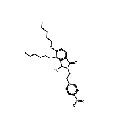 CCCCCOc1ccc2c(c1OCCCCC)C(O)N(CCc1ccc([N+](=O)[O-])cc1)C2=O